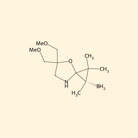 B[C@@]1(C)C(C)(C)C12NCC(COC)(COC)O2